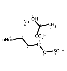 CC(O)C(=O)O.CCCCCCCCCCC[CH-]OS(=O)(=O)O.[Na+]